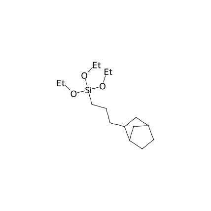 CCO[Si](CCCC1CC2CCC1C2)(OCC)OCC